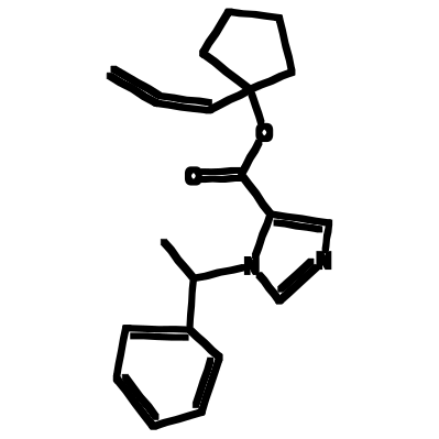 C=C=CC1(OC(=O)c2cncn2C(C)c2ccccc2)CCCC1